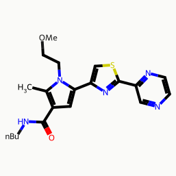 CCCCNC(=O)c1cc(-c2csc(-c3cnccn3)n2)n(CCOC)c1C